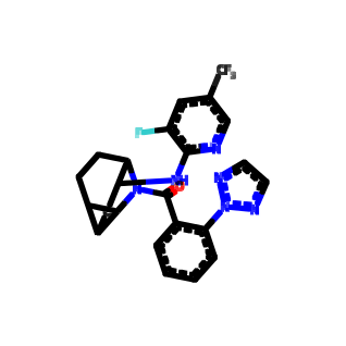 O=C(c1ccccc1-n1nccn1)N1C2CCC3C(CC2Nc2ncc(C(F)(F)F)cc2F)C31